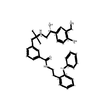 CC(C)(Cc1cccc(C(=O)NCCc2ccccc2Sc2ccccc2)c1)NC[C@H](O)c1ccc(O)c(CO)c1